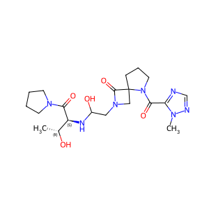 C[C@@H](O)[C@H](NC(O)CN1CC2(CCCN2C(=O)c2ncnn2C)C1=O)C(=O)N1CCCC1